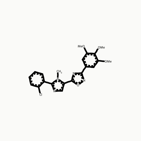 COc1cc(-c2noc(-c3cnc(-c4ccccc4Cl)n3C)n2)cc(OC)c1OC